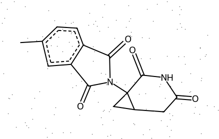 Cc1ccc2c(c1)C(=O)N(C13CC1CC(=O)NC3=O)C2=O